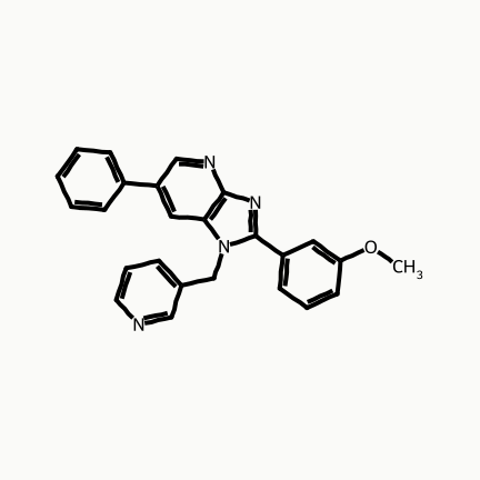 COc1cccc(-c2nc3ncc(-c4ccccc4)cc3n2Cc2cccnc2)c1